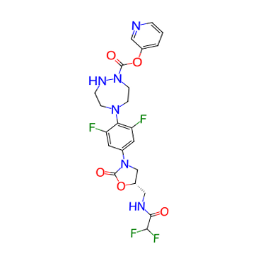 O=C(NC[C@H]1CN(c2cc(F)c(N3CCNN(C(=O)Oc4cccnc4)CC3)c(F)c2)C(=O)O1)C(F)F